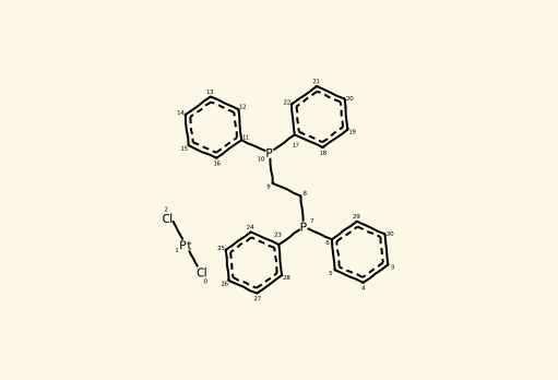 [Cl][Pt][Cl].c1ccc(P(CCP(c2ccccc2)c2ccccc2)c2ccccc2)cc1